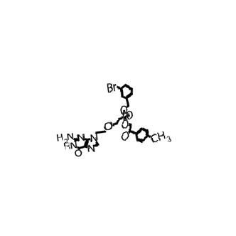 Cc1ccc(C(=O)COP(=O)(CCOCCn2cnc3c(=O)[nH]c(N)nc32)OCc2cccc(Br)c2)cc1